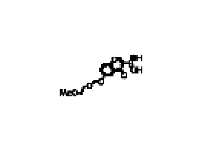 COCCOCOc1ccc2occ(B(O)O)c(=O)c2c1